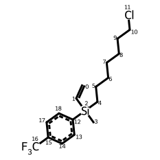 C=C[Si](C)(CCCCCCCCl)c1ccc(C(F)(F)F)cc1